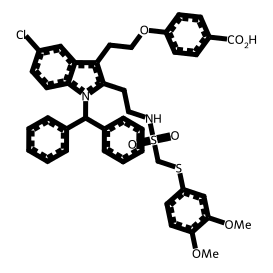 COc1ccc(SCS(=O)(=O)NCCc2c(CCOc3ccc(C(=O)O)cc3)c3cc(Cl)ccc3n2C(c2ccccc2)c2ccccc2)cc1OC